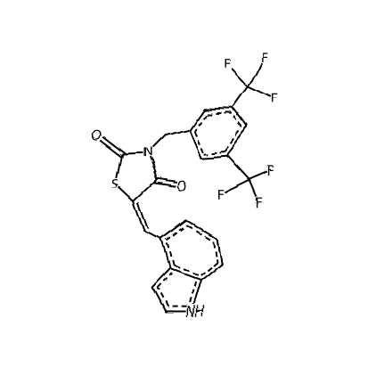 O=C1SC(=Cc2cccc3[nH]ccc23)C(=O)N1Cc1cc(C(F)(F)F)cc(C(F)(F)F)c1